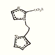 O=C(O)c1nccn1Cc1cccs1